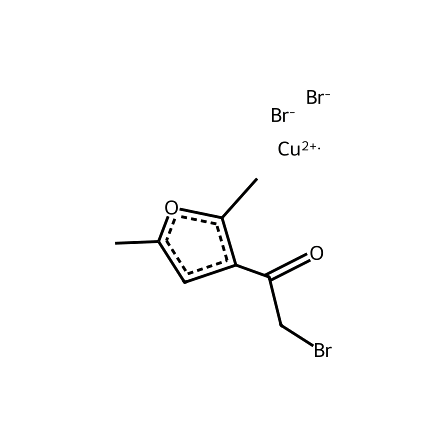 Cc1cc(C(=O)CBr)c(C)o1.[Br-].[Br-].[Cu+2]